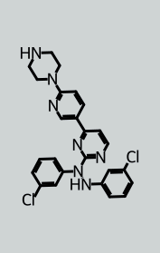 Clc1cccc(NN(c2cccc(Cl)c2)c2nccc(-c3ccc(N4CCNCC4)nc3)n2)c1